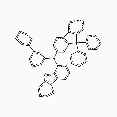 c1ccc(-c2cccc(N(c3ccc4c(c3)C(c3ccccc3)(c3ccccc3)c3ccccc3-4)c3cccc4c3oc3ccccc34)c2)cc1